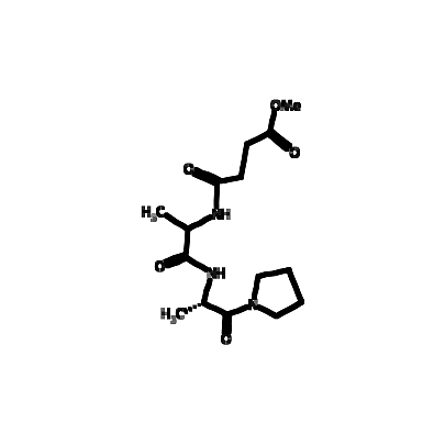 COC(=O)CCC(=O)NC(C)C(=O)N[C@@H](C)C(=O)N1CCCC1